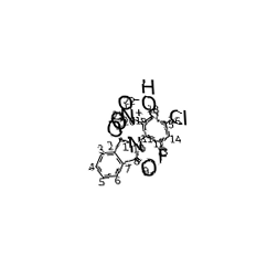 O=C1c2ccccc2C(=O)N1c1c(F)cc(Cl)c(O)c1[N+](=O)[O-]